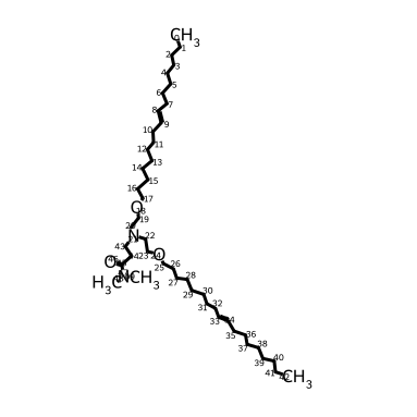 CCCCCCCCC=CCCCCCCCCOCCN(CCOCCCCCCCCC=CCCCCCCCC)CCC(=O)N(C)C